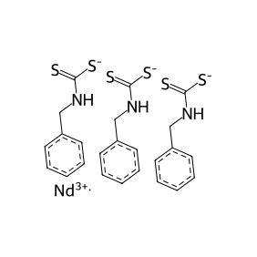 S=C([S-])NCc1ccccc1.S=C([S-])NCc1ccccc1.S=C([S-])NCc1ccccc1.[Nd+3]